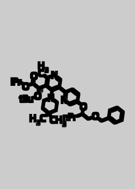 CCCC(COCc1ccccc1)Oc1ccc(-c2cnc(C)c([C@H](OC(C)(C)C)C(=O)OC(C)C)c2N2CCC(C)(C)CC2)nc1